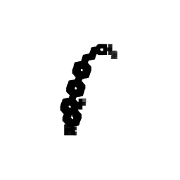 C=CCCc1ccc(-c2ccc(-c3ccc4cc(CC)ccc4c3F)cc2)cc1